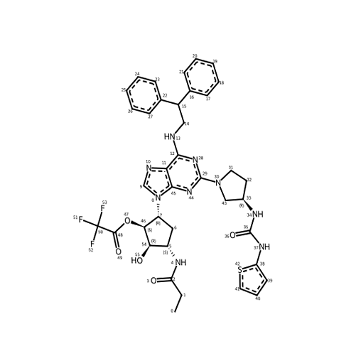 CCC(=O)N[C@H]1C[C@@H](n2cnc3c(NCC(c4ccccc4)c4ccccc4)nc(N4CC[C@@H](NC(=O)Nc5cccs5)C4)nc32)[C@H](OC(=O)C(F)(F)F)[C@@H]1O